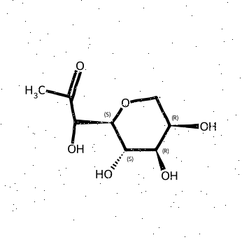 CC(=O)C(O)[C@H]1O[CH][C@@H](O)[C@@H](O)[C@@H]1O